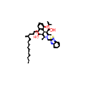 CCCCCCCCCCC(C)CCCCc1cccc(OC(C)C)c1C1C(C(=O)O)=C(C)N(CC2(S)N=c3ccccc3=N2)C(C)=C1C(=O)O